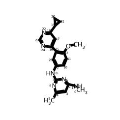 CNc1cc(C)nc(Nc2ccc(OC)c(-c3cc(C4CC4)ncn3)c2)n1